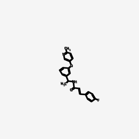 Cc1ccc(Oc2cccc(C(C)NC(=O)C=Cc3ccc(F)cc3)c2)cn1